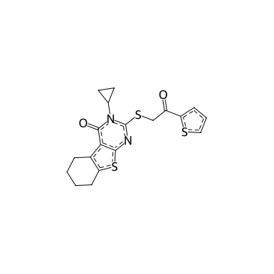 O=C(CSc1nc2sc3c(c2c(=O)n1C1CC1)CCCC3)c1cccs1